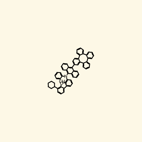 Cc1ccccc1N(c1c2ccccc2c(-c2ccc3c(c2)-c2ccccc2-c2ccccc2-c2ccccc2-3)c2ccccc12)c1cccc2c1oc1c(C3CCCCC3)cccc12